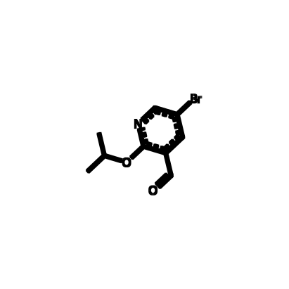 CC(C)Oc1ncc(Br)cc1C=O